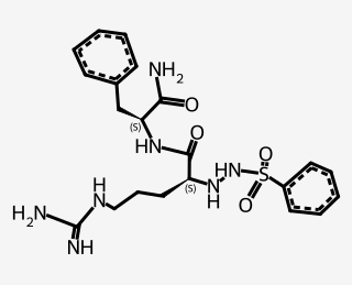 N=C(N)NCCC[C@H](NNS(=O)(=O)c1ccccc1)C(=O)N[C@@H](Cc1ccccc1)C(N)=O